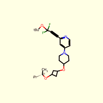 CC(C)[C@H](C)OC1CC(OC2CCN(c3ccnc(C#CC(F)(F)OC(C)(C)C)c3)CC2)C1